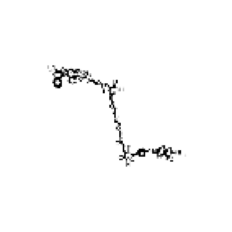 CCCCc1nc2c(N)nc3ccccc3c2n1CC(C)(C)COC(=O)OCCSSC[C@H](NC(=O)CCOCCOCCOCCNC(=O)CCC(NC(=O)c1ccc(NCc2cnc3nc(N)[nH]c(=O)c3n2)cc1)C(=O)O)C(=O)O